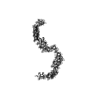 C=Cc1c(F)c(F)c(OCC(F)(F)CC(F)(F)C(F)(F)OC(F)(F)C(F)(F)OC(F)(F)COc2c(F)c(F)c(-c3c(F)c(F)c(Oc4ccc(C(C)(C)c5cccc(C(C)(C)c6ccc(Oc7c(F)c(F)c(-c8c(F)c(F)c(OCC(F)(F)OC(F)(F)C(F)(F)OC(F)(F)C(F)(F)OC(F)(F)COc9c(F)c(F)c(C=C)c(F)c9F)c(F)c8F)c(F)c7F)cc6)c5)cc4)c(F)c3F)c(F)c2F)c(F)c1F